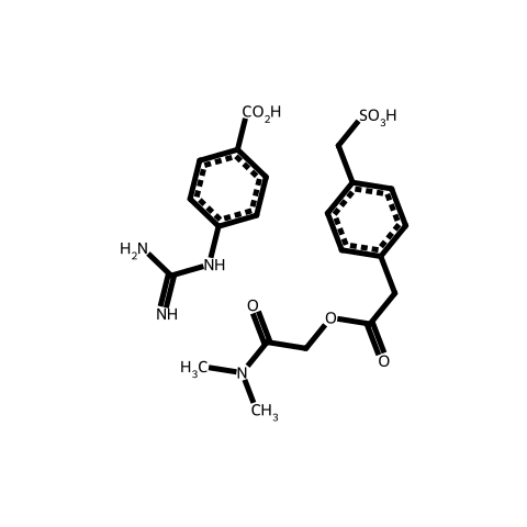 CN(C)C(=O)COC(=O)Cc1ccc(CS(=O)(=O)O)cc1.N=C(N)Nc1ccc(C(=O)O)cc1